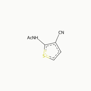 CC(=O)Nc1sccc1C#N